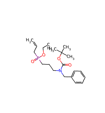 C=CCP(=O)(CCCN(Cc1ccccc1)C(=O)OC(C)(C)C)OCC